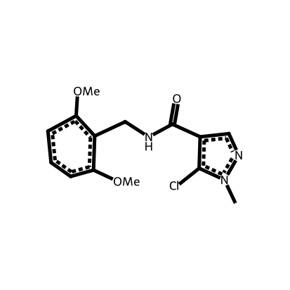 COc1cccc(OC)c1CNC(=O)c1cnn(C)c1Cl